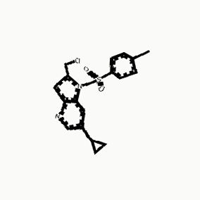 Cc1ccc(S(=O)(=O)n2c(CCl)cc3ncc(C4CC4)cc32)cc1